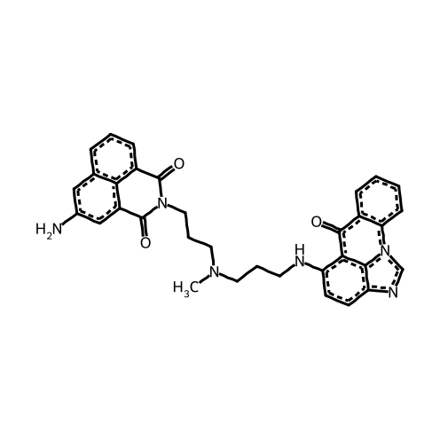 CN(CCCNc1ccc2ncn3c4ccccc4c(=O)c1c23)CCCN1C(=O)c2cccc3cc(N)cc(c23)C1=O